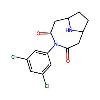 O=C1CC2CCC(CC(=O)N1c1cc(Cl)cc(Cl)c1)N2